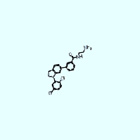 NCCNC(=O)c1cccc(-c2ccc3c(c2)C(c2cc(Cl)ccc2Cl)CC3)c1